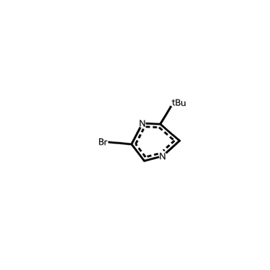 CC(C)(C)c1cncc(Br)n1